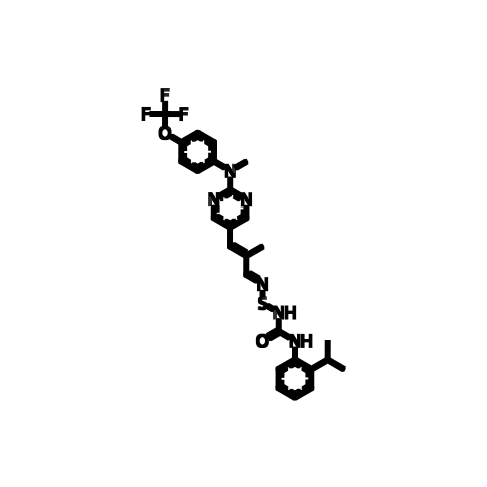 CC(/C=N/SNC(=O)Nc1ccccc1C(C)C)=C\c1cnc(N(C)c2ccc(OC(F)(F)F)cc2)nc1